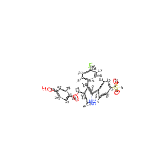 Cc1[nH]c(-c2ccc(S(C)(=O)=O)cc2)c(-c2ccc(F)cc2)c1COc1ccc(O)cc1